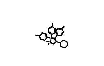 Cc1ccc(C2=C(C3CCCCC3)C[N+](C)(C)[B-]2(c2ccc(C)cc2)c2ccc(C)cc2)cc1